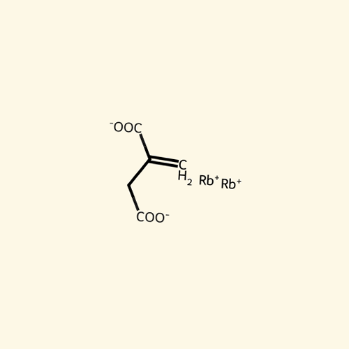 C=C(CC(=O)[O-])C(=O)[O-].[Rb+].[Rb+]